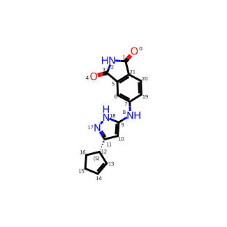 O=C1NC(=O)c2cc(Nc3cc([C@@H]4C=CCC4)n[nH]3)ccc21